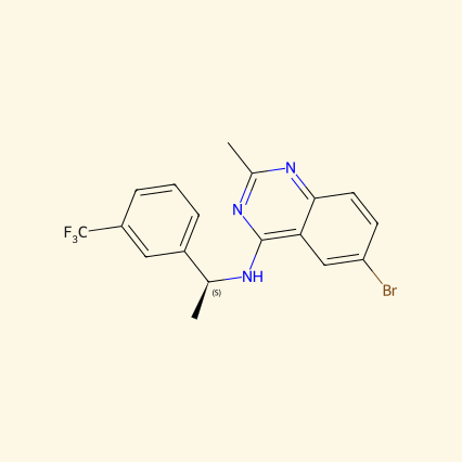 Cc1nc(N[C@@H](C)c2cccc(C(F)(F)F)c2)c2cc(Br)ccc2n1